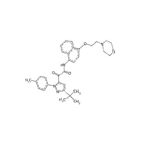 Cc1ccc(-n2nc(C(C)(C)C)cc2C(=O)C(=O)Nc2ccc(OCCN3CCOCC3)c3ccccc23)cc1